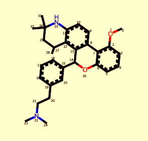 COc1cccc2c1-c1ccc3c(c1C(c1cccc(CCN(C)C)c1)O2)C(C)CC(C)(C)N3